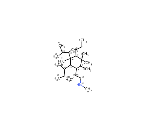 CCCC1C(C)(C)C(C)C([C@@H](C)CNC)C(C(C)CC)C1(C)C(C)C(C)C